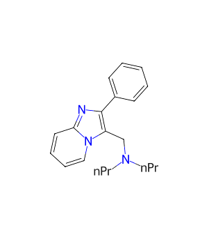 CCCN(CCC)Cc1c(-c2ccccc2)nc2ccccn12